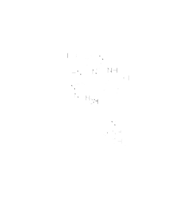 Cc1cc(Nc2nc(Nc3cc(C)c(C4CCN(S(C)(=O)=O)CC4)cc3C)ncc2C)[nH]n1